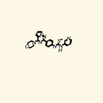 CS/C(=N\c1ccc(-c2nc(N3CCOCC3)c3cccn3n2)cc1)Nc1cccnc1